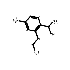 Nc1ccc(C(N)O)c(CCO)c1